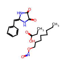 CCC(=O)O.CCCCCCCCON=O.O=C1NC(=Cc2ccccc2)NC1=O